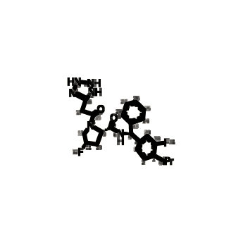 CC(C)c1ccc([C@@H](NC(=O)[C@@H]2C[C@@H](F)CN2C(=O)CC2=NNNN2)c2ccccc2)cc1F